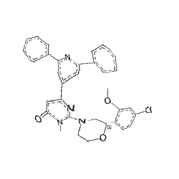 COc1cc(Cl)ccc1[C@H]1CN(c2nc(-c3cc(-c4ccccc4)nc(-c4ccccc4)c3)cc(=O)n2C)CCO1